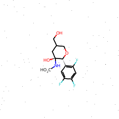 O=C(O)N[C@]1(O)CC(CO)CO[C@@H]1c1cc(F)c(F)cc1F